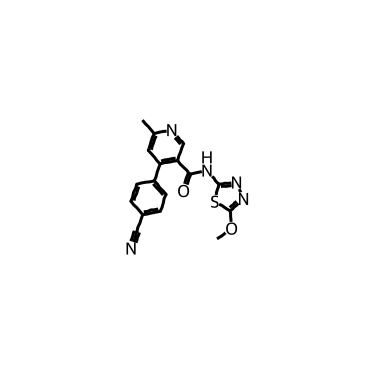 COc1nnc(NC(=O)c2cnc(C)cc2-c2ccc(C#N)cc2)s1